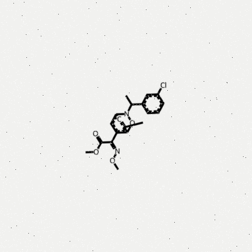 CON=C(C(=O)OC)c1cc2cc(C)c1ON2C(C)c1cccc(Cl)c1